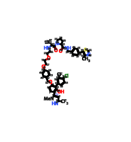 CN/C(=C\C(=N)C(F)(F)F)c1ccc(OCc2ccc(OCCOCCNC(C(=O)N3CCCC3C(=O)NCc3ccc(-c4scnc4C)cc3)C(C)(C)C)cc2)c(-c2ccc(Cl)c(C(F)(F)F)c2)c1O